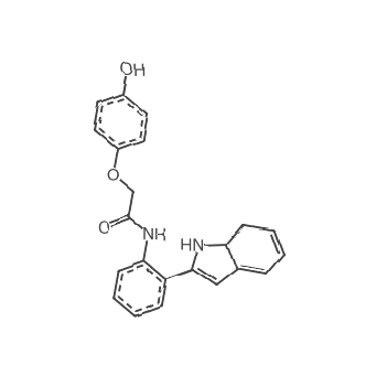 O=C(COc1ccc(O)cc1)Nc1ccccc1C1=CC2=CC=CCC2N1